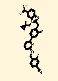 CC1(Cn2c(Cc3ccc(-c4cccc(OCc5ccc(C#N)cc5F)n4)cc3F)nc3ccc(C(=O)O)cc32)CC1